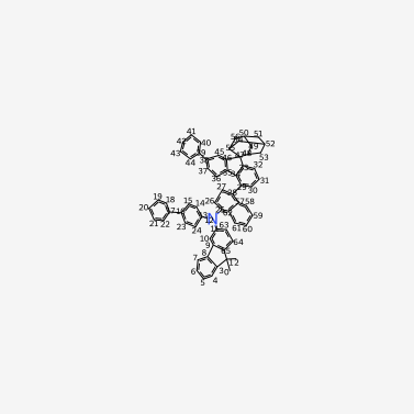 CC1(C)c2ccccc2-c2cc(N(c3ccc(-c4ccccc4)cc3)c3ccc(-c4cccc5c4-c4ccc(-c6ccccc6)cc4C54C5CC6CC(C5)CC4C6)c4ccccc34)ccc21